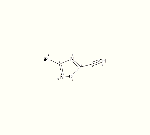 C#Cc1nc(C(C)C)no1